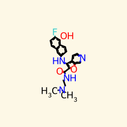 CN(C)CCNC(=O)c1oc2cnccc2c1Nc1ccc2c(O)c(F)ccc2c1